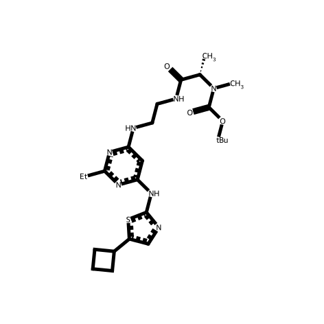 CCc1nc(NCCNC(=O)[C@H](C)N(C)C(=O)OC(C)(C)C)cc(Nc2ncc(C3CCC3)s2)n1